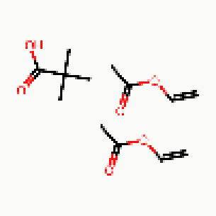 C=COC(C)=O.C=COC(C)=O.CC(C)(C)C(=O)O